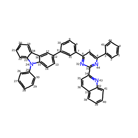 c1ccc(-c2cc(-c3cccc(-c4ccc5c(c4)c4ccccc4n5-c4ccccc4)c3)nc(-c3ccc4ccccc4n3)n2)cc1